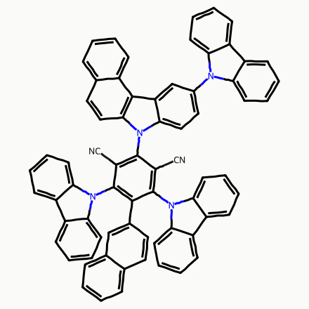 N#Cc1c(-n2c3ccccc3c3ccccc32)c(-c2ccc3ccccc3c2)c(-n2c3ccccc3c3ccccc32)c(C#N)c1-n1c2ccc(-n3c4ccccc4c4ccccc43)cc2c2c3ccccc3ccc21